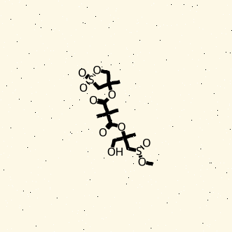 COS(=O)CC(C)(CO)OC(=O)C(C)(C)C(=O)OC1(C)COS(=O)(=O)C1